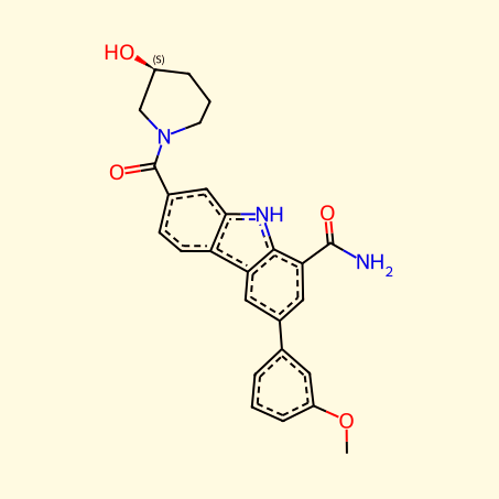 COc1cccc(-c2cc(C(N)=O)c3[nH]c4cc(C(=O)N5CCC[C@H](O)C5)ccc4c3c2)c1